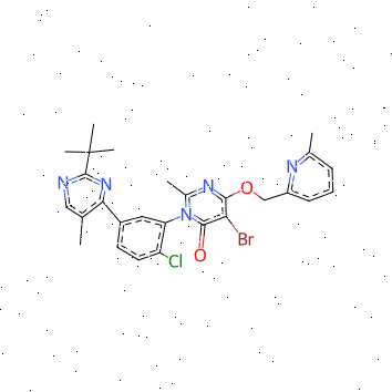 Cc1cccc(COc2nc(C)n(-c3cc(-c4nc(C(C)(C)C)ncc4C)ccc3Cl)c(=O)c2Br)n1